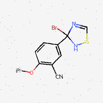 CC(C)Oc1ccc(C2(Br)N=CSN2)cc1C#N